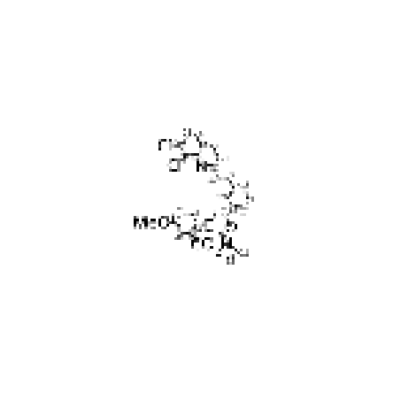 COc1ccc(OCC(OCC2CC2)c2cccc(/C=C/c3ccc4ccc(Cl)c(Cl)c4n3)c2)c(C(=O)O)c1